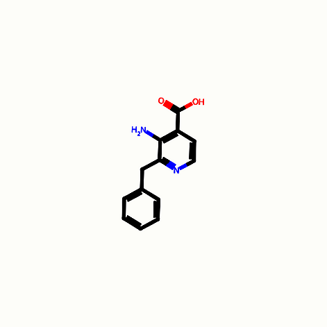 Nc1c(C(=O)O)ccnc1Cc1ccccc1